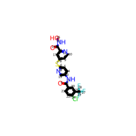 O=C(Nc1ccc(Sc2ccnc(C(=O)NO)c2)nc1)c1ccc(Cl)c(C(F)(F)F)c1